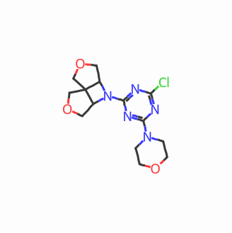 Clc1nc(N2CCOCC2)nc(N2C3COCC34COCC24)n1